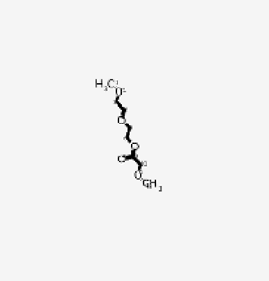 COCCOCCOC(=O)COC